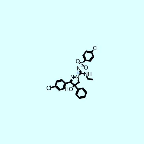 CCN/C(=N\S(=O)(=O)c1ccc(Cl)cc1)N1CC(O)(c2ccccc2)C(c2ccc(Cl)cc2)=N1